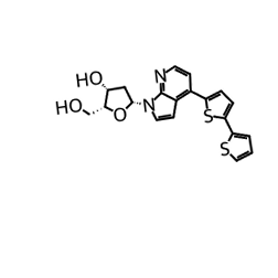 OC[C@H]1O[C@@H](n2ccc3c(-c4ccc(-c5cccs5)s4)ccnc32)C[C@H]1O